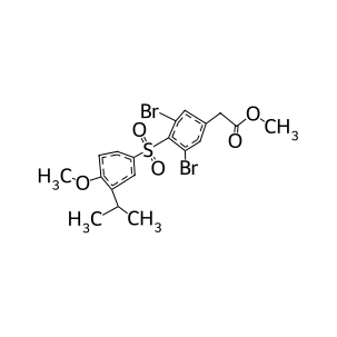 COC(=O)Cc1cc(Br)c(S(=O)(=O)c2ccc(OC)c(C(C)C)c2)c(Br)c1